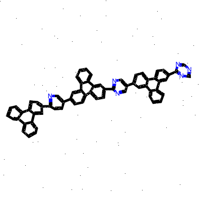 c1ccc2c(c1)c1ccccc1c1cc(-c3ccc(-c4ccc5c6ccc(-c7ncc(-c8ccc9c%10ccc(-c%11ncncn%11)cc%10c%10ccccc%10c9c8)cn7)cc6c6ccccc6c5c4)cn3)ccc21